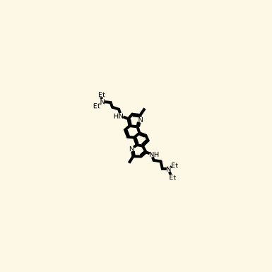 CCN(CC)CCCNc1cc(C)nc2c1ccc1c2ccc2c(NCCCN(CC)CC)cc(C)nc21